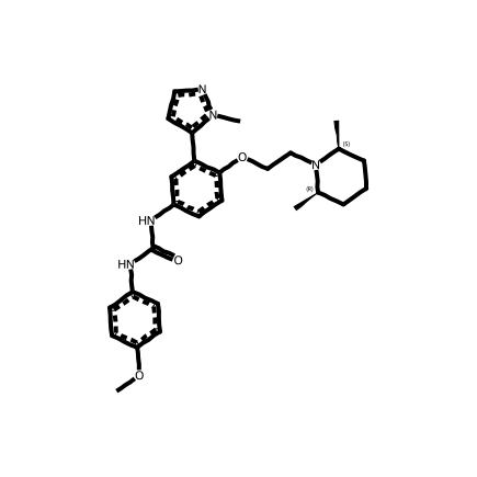 COc1ccc(NC(=O)Nc2ccc(OCCN3[C@H](C)CCC[C@@H]3C)c(-c3ccnn3C)c2)cc1